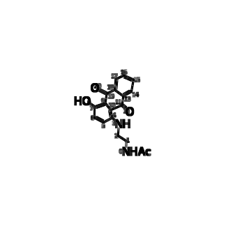 CC(=O)NCCNc1ccc(O)c2c1C(=O)c1ccccc1C2=O